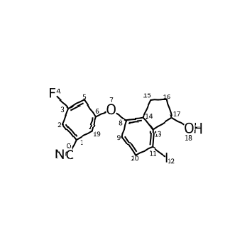 N#Cc1cc(F)cc(Oc2ccc(I)c3c2CCC3O)c1